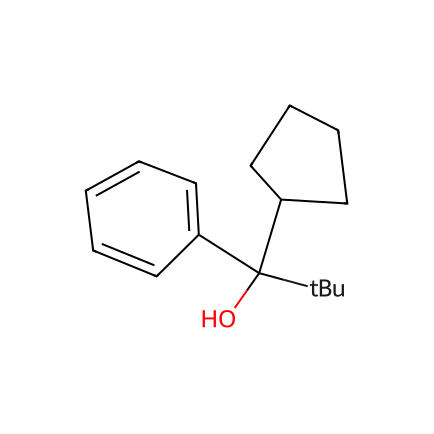 CC(C)(C)C(O)(c1ccccc1)C1CCCC1